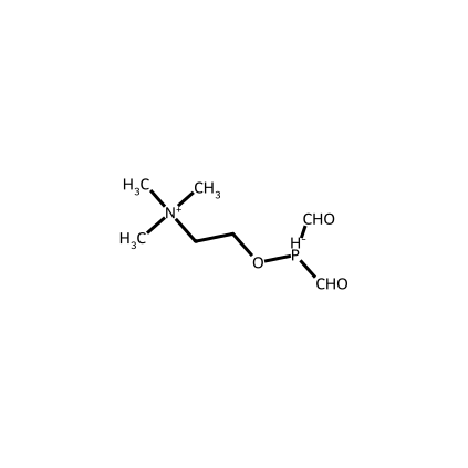 C[N+](C)(C)CCO[PH-](C=O)C=O